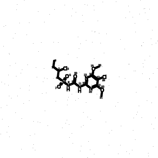 CCC(Cl)CS(=O)(=O)NC(=O)Nc1nc(OC)c(Cl)c(OC)n1